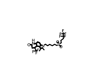 Cc1c(C)n(CCCCCCS(=O)(=O)CCCC(F)(F)C(F)(F)F)c2ccc3[nH]c(=O)cc(C(F)(F)F)c3c12